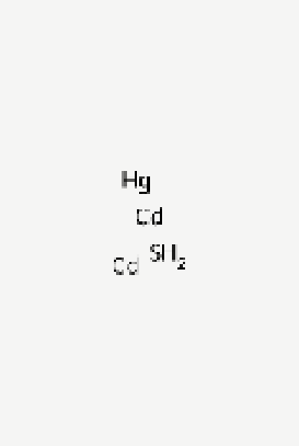 S.[Cd].[Cd].[Hg]